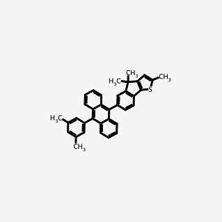 Cc1cc(C)cc(-c2c3ccccc3c(-c3ccc4c(c3)C(C)(C)c3cc(C)sc3-4)c3ccccc23)c1